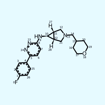 Fc1ccc(-c2ccc(N[C@H]3[C@@H]4CN(CC5CCOCC5)C[C@@H]43)nn2)cc1